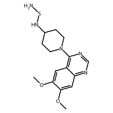 COc1cc2ncnc(N3CCC(NSN)CC3)c2cc1OC